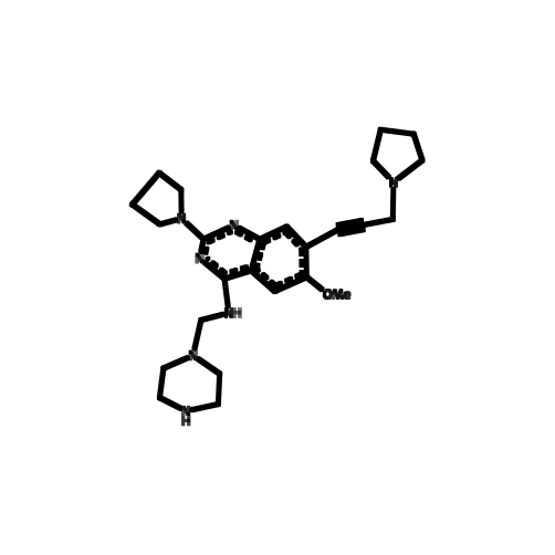 COc1cc2c(NCN3CCNCC3)nc(N3CCCC3)nc2cc1C#CCN1CCCC1